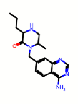 CCCC1NCC(C)N(Cc2ccc3c(N)ncnc3c2)C1=O